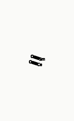 [O]=[Ce].[O]=[Sm]